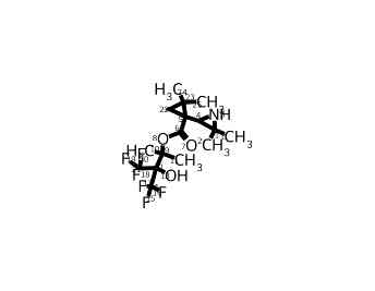 CC1(C)NC1C1(C(=O)OC(C)(C)C(O)(C(F)(F)F)C(F)(F)F)CC1(C)C